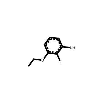 CCOc1cccc([NH])c1F